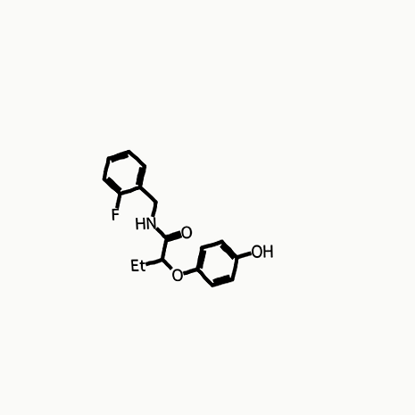 CCC(Oc1ccc(O)cc1)C(=O)NCc1ccccc1F